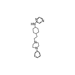 c1ccc(N2CCN(CCC3CCC(Nc4cnccn4)CC3)CC2)cc1